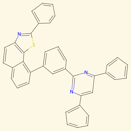 c1ccc(-c2cc(-c3ccccc3)nc(-c3cccc(-c4cccc5ccc6nc(-c7ccccc7)sc6c45)c3)n2)cc1